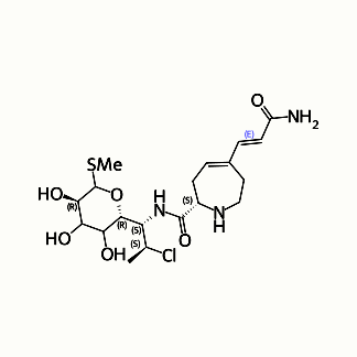 CSC1O[C@H]([C@H](NC(=O)[C@@H]2CC=C(/C=C/C(N)=O)CCN2)[C@H](C)Cl)C(O)C(O)[C@H]1O